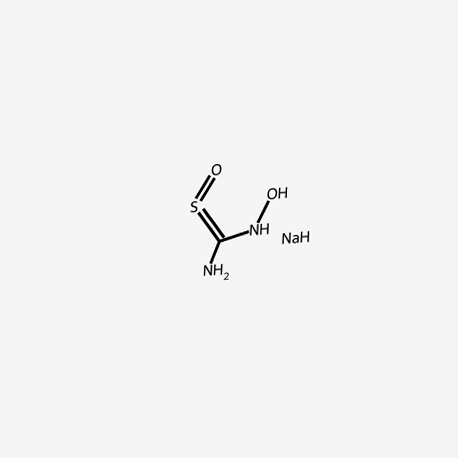 NC(NO)=S=O.[NaH]